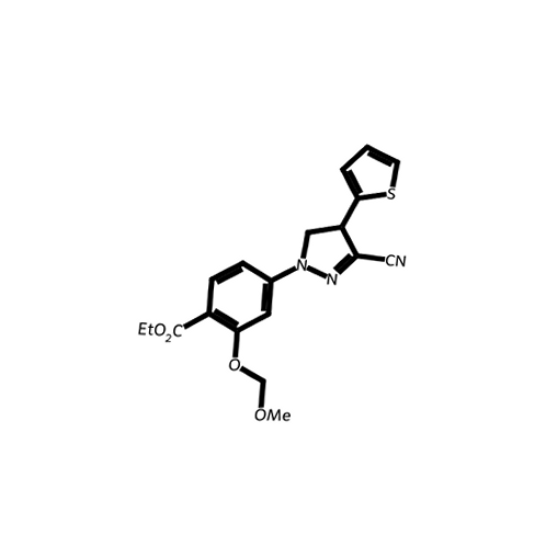 CCOC(=O)c1ccc(N2CC(c3cccs3)C(C#N)=N2)cc1OCOC